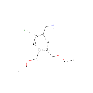 CCOCc1ccc(CN)cc1COCC.Cl